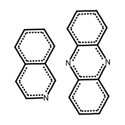 c1ccc2cnccc2c1.c1ccc2nc3ccccc3nc2c1